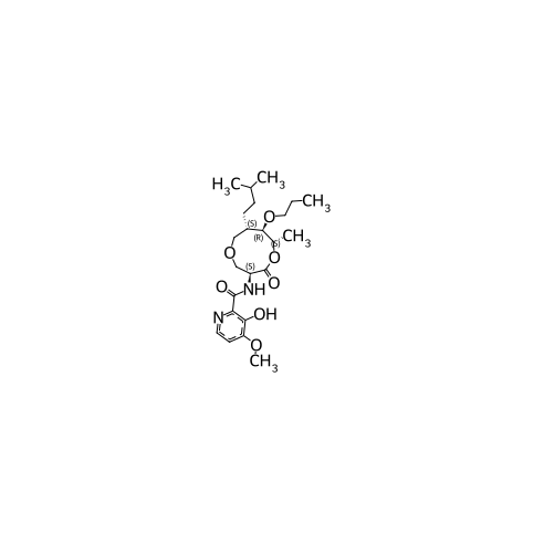 CCCO[C@@H]1[C@@H](CCC(C)C)COC[C@H](NC(=O)c2nccc(OC)c2O)C(=O)O[C@H]1C